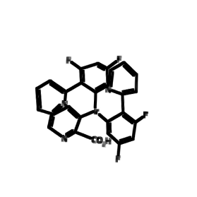 O=C(O)c1nccc[c]1[Ir]([c]1cc(F)cc(F)c1-c1ccccn1)[c]1cc(F)cc(F)c1-c1ccccn1